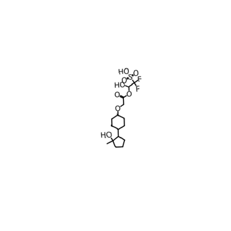 CC1(O)CCCC1C1CCC(OCC(=O)OC(O)C(F)(F)S(=O)(=O)O)CC1